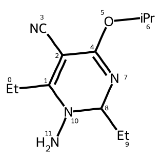 CCC1=C(C#N)C(OC(C)C)=NC(CC)N1N